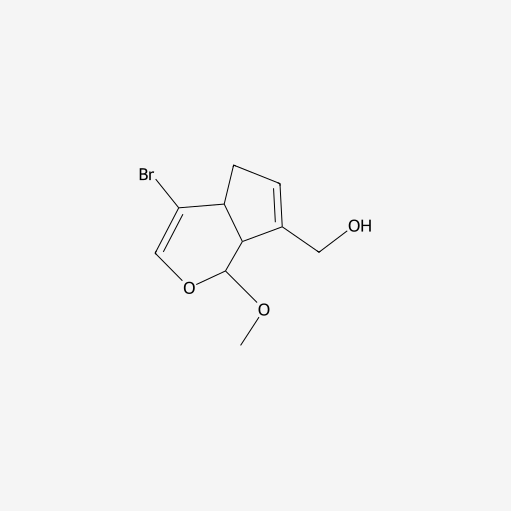 COC1OC=C(Br)C2CC=C(CO)C12